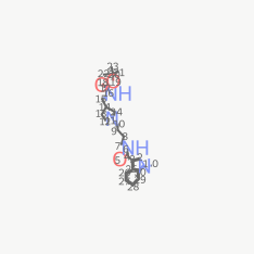 Cn1cc(C(=O)NCCCCN2CCC(CNC(=O)OC(C)(C)C)C2)c2ccccc21